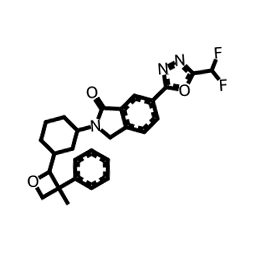 CC1(c2ccccc2)COC1C1CCCC(N2Cc3ccc(-c4nnc(C(F)F)o4)cc3C2=O)C1